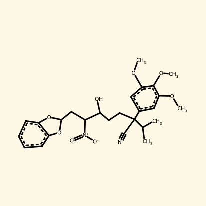 COc1cc(C(C#N)(CCC(O)C(CC2Oc3ccccc3O2)[N+](=O)[O-])C(C)C)cc(OC)c1OC